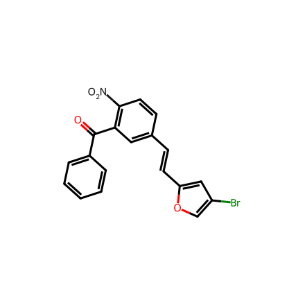 O=C(c1ccccc1)c1cc(C=Cc2cc(Br)co2)ccc1[N+](=O)[O-]